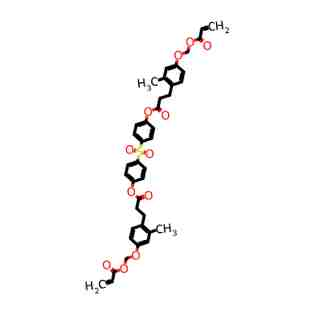 C=CC(=O)OCOc1ccc(CCC(=O)Oc2ccc(S(=O)(=O)c3ccc(OC(=O)CCc4ccc(OCOC(=O)C=C)cc4C)cc3)cc2)c(C)c1